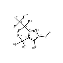 CCn1nc(C(F)(F)C(F)(F)F)c(C(F)(F)F)c1F